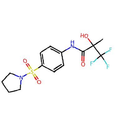 CC(O)(C(=O)Nc1ccc(S(=O)(=O)N2CCCC2)cc1)C(F)(F)F